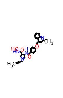 CC#CCN1CC(NC(=O)c2ccc(OCc3cc(C)nc4ccccc34)cc2)C(C(=O)NO)C1